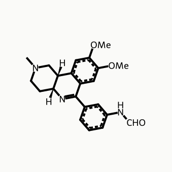 COc1cc2c(cc1OC)[C@H]1CN(C)CC[C@H]1N=C2c1cccc(NC=O)c1